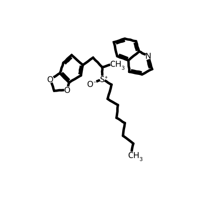 CCCCCCCC[S+]([O-])C(C)Cc1ccc2c(c1)OCO2.c1ccc2ncccc2c1